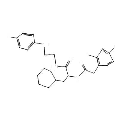 O=C(Cc1ccc(F)cc1F)NC(CC1CCCCC1)C(=O)NCCNc1ccc(F)cc1